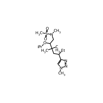 CCC(CC(C)(C)C(CN(C)S(C)(=O)=O)OC(C)C)c1cn(C)nn1